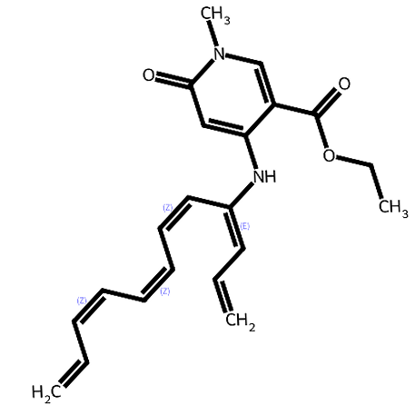 C=C\C=C/C=C\C=C/C(=C\C=C)Nc1cc(=O)n(C)cc1C(=O)OCC